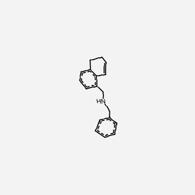 C1=Cc2c(cccc2CNCc2ccccc2)CC1